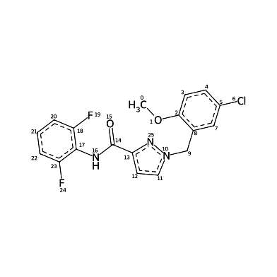 COc1ccc(Cl)cc1Cn1ccc(C(=O)Nc2c(F)cccc2F)n1